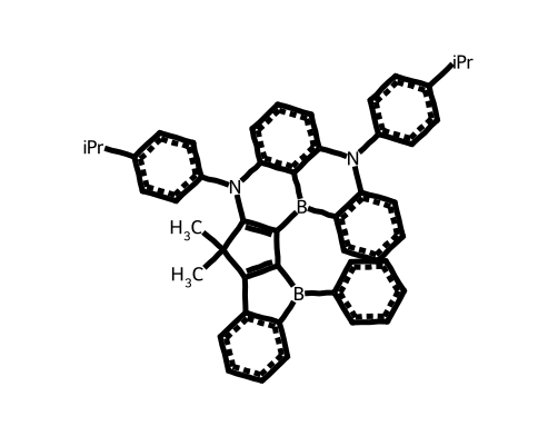 CC(C)c1ccc(N2C3=C(B4c5ccccc5N(c5ccc(C(C)C)cc5)c5cccc2c54)C2=C(c4ccccc4B2c2ccccc2)C3(C)C)cc1